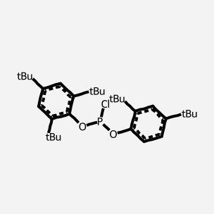 CC(C)(C)c1ccc(OP(Cl)Oc2c(C(C)(C)C)cc(C(C)(C)C)cc2C(C)(C)C)c(C(C)(C)C)c1